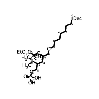 CCCCCCCCCCCCCCCCCOCC(CC(COP(=O)(O)O)[N+](C)(C)C)OCC(=O)OCC